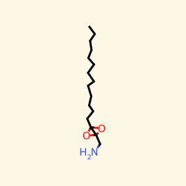 CCCCCCCCCCCCCC12OC1(CN)O2